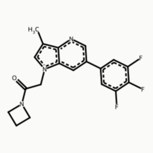 Cc1cn(CC(=O)N2CCC2)c2cc(-c3cc(F)c(F)c(F)c3)cnc12